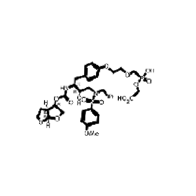 COc1ccc(S(=O)(=O)N(CC(C)C)C[C@@H](O)[C@H](Cc2ccc(OCCOCP(=O)(O)OCC(=O)O)cc2)NC(=O)O[C@H]2CO[C@H]3OCC[C@H]32)cc1